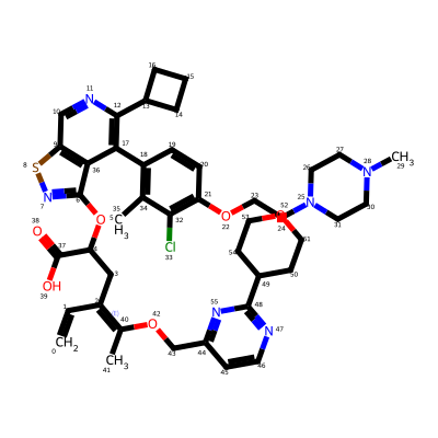 C=C/C(CC(Oc1nsc2cnc(C3CCC3)c(-c3ccc(OCCN4CCN(C)CC4)c(Cl)c3C)c12)C(=O)O)=C(\C)OCc1ccnc(C2CCOCC2)n1